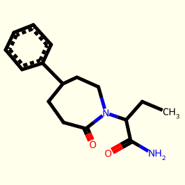 CCC(C(N)=O)N1CCC(c2ccccc2)CCC1=O